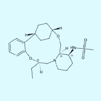 CC[C@@H]1CN2CCC[C@H](NS(C)(=O)=O)[C@@H]2CO[C@H]2CC[C@H](CC2)c2ccccc2O1